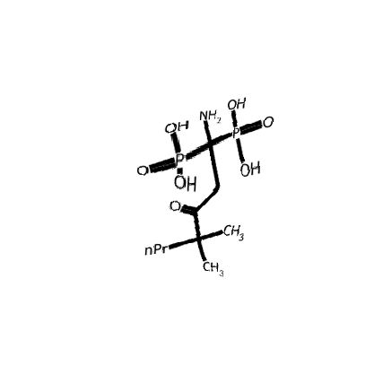 CCCC(C)(C)C(=O)CC(N)(P(=O)(O)O)P(=O)(O)O